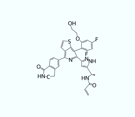 C=CC(=O)N[C@H](C)c1cc(-c2nc(-c3ccc4c(c3)CCNC4=O)c3ccsc3c2-c2c(F)cc(F)cc2OCCO)n[nH]1